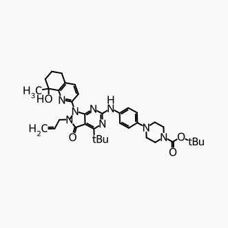 C=CCn1c(=O)c2c(C(C)(C)C)nc(Nc3ccc(N4CCN(C(=O)OC(C)(C)C)CC4)cc3)nc2n1-c1ccc2c(n1)C(C)(O)CCC2